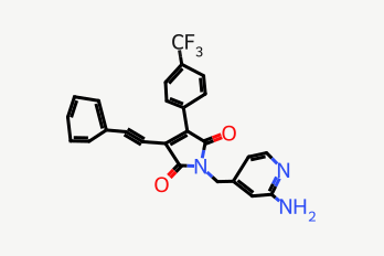 Nc1cc(CN2C(=O)C(C#Cc3ccccc3)=C(c3ccc(C(F)(F)F)cc3)C2=O)ccn1